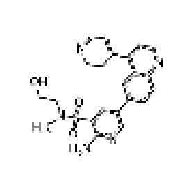 CN(CCO)S(=O)(=O)c1cc(-c2ccc3nccc(C4=CC=NCC4)c3c2)cnc1N